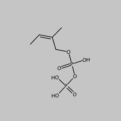 CC=C(C)COP(=O)(O)OP(=O)(O)O